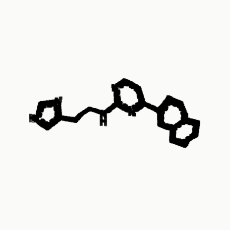 c1ccc2cc(-c3ccnc(NCCc4c[nH]cn4)n3)ccc2c1